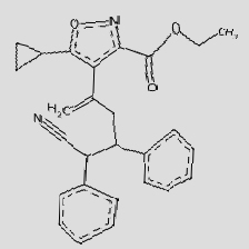 C=C(CC(c1ccccc1)C(C#N)c1ccccc1)c1c(C(=O)OCC)noc1C1CC1